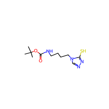 CC(C)(C)OC(=O)NCCCCn1cnnc1S